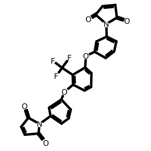 O=C1C=CC(=O)N1c1cccc(Oc2cccc(Oc3cccc(N4C(=O)C=CC4=O)c3)c2C(F)(F)F)c1